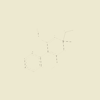 CCOC1=CC(F)(CCl)CC(OCC)=C1c1ccccc1